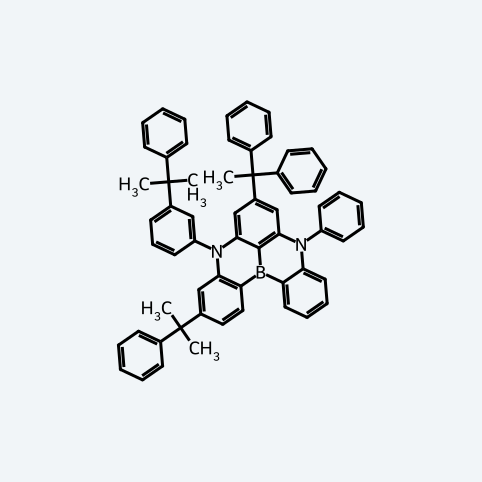 CC(C)(c1ccccc1)c1cccc(N2c3cc(C(C)(C)c4ccccc4)ccc3B3c4ccccc4N(c4ccccc4)c4cc(C(C)(c5ccccc5)c5ccccc5)cc2c43)c1